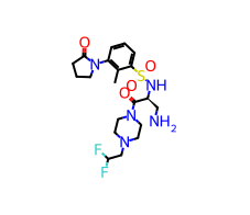 Cc1c(N2CCCC2=O)cccc1S(=O)(=O)N[C@@H](CN)C(=O)N1CCN(CC(F)F)CC1